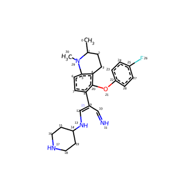 CC1CCc2c(ccc(/C(C=N)=C/NC3CCNCC3)c2Oc2ccc(F)cc2)N1C